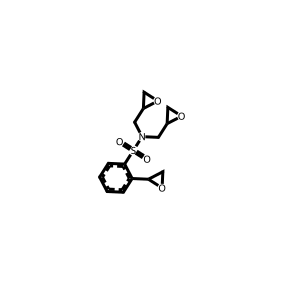 O=S(=O)(c1ccccc1C1CO1)N(CC1CO1)CC1CO1